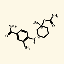 CNC(=O)c1ccc(N[C@H]2CCC[C@](OC(N)=O)(C(C)(C)C)C2)c(N)c1